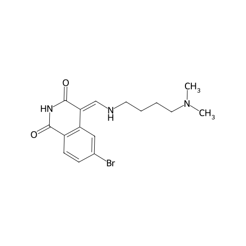 CN(C)CCCCN/C=C1/C(=O)NC(=O)c2ccc(Br)cc21